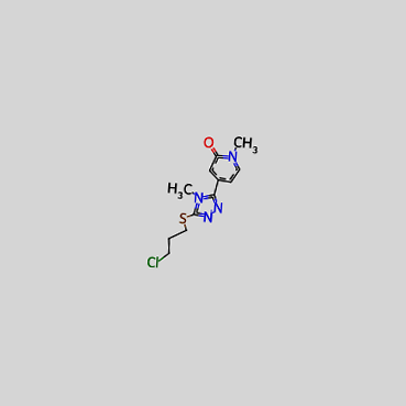 Cn1c(SCCCCl)nnc1-c1ccn(C)c(=O)c1